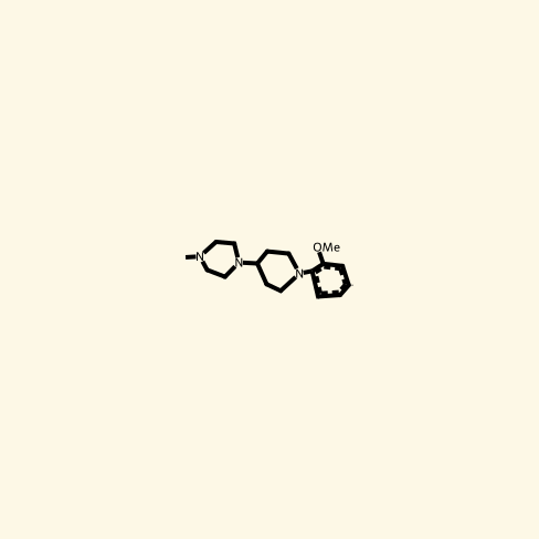 COc1c[c]ccc1N1CCC(N2CCN(C)CC2)CC1